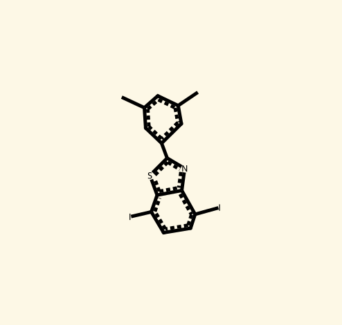 Cc1cc(C)cc(-c2nc3c(I)ccc(I)c3s2)c1